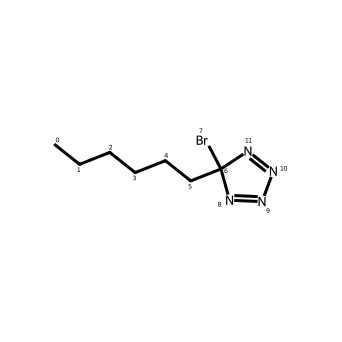 CCCCCCC1(Br)N=NN=N1